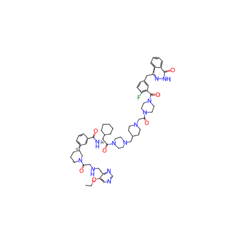 CCOc1cncnc1CNCC(=O)N1CCC[C@@H](c2cccc(C(=O)N[C@@H](C(=O)N3CCN(CC4CCN(CC(=O)N5CCN(C(=O)c6cc(Cc7n[nH]c(=O)c8ccccc78)ccc6F)CC5)CC4)CC3)C3CCCCC3)c2)C1